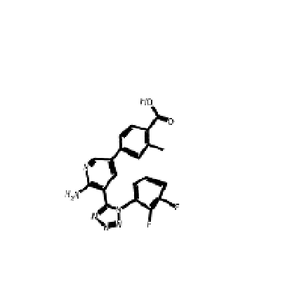 Cc1cc(-c2cnc(N)c(-c3nnnn3-c3cccc(F)c3F)c2)ccc1C(=O)O